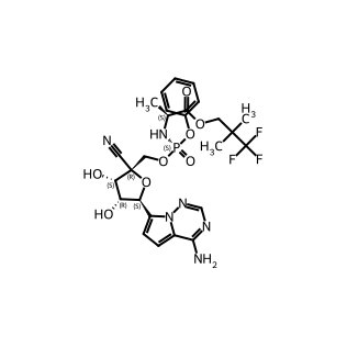 C[C@H](N[P@](=O)(OC[C@@]1(C#N)O[C@@H](c2ccc3c(N)ncnn23)[C@H](O)[C@@H]1O)Oc1ccccc1)C(=O)OCC(C)(C)C(F)(F)F